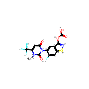 Cn1c(C(F)(F)F)cc(=O)n(-c2cc3c(OC(=O)O)nsc3cc2F)c1=O